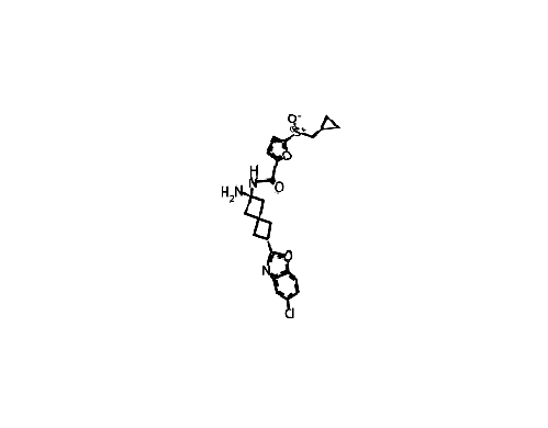 N[C@]1(NC(=O)c2ccc([S@+]([O-])CC3CC3)o2)CC2(C[C@H](c3nc4cc(Cl)ccc4o3)C2)C1